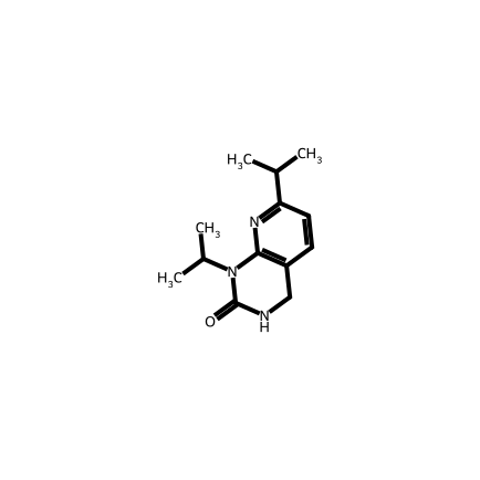 CC(C)c1ccc2c(n1)N(C(C)C)C(=O)NC2